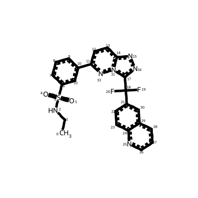 CCNS(=O)(=O)c1cccc(-c2ccc3nnc(C(F)(F)c4ccc5ncccc5c4)n3n2)c1